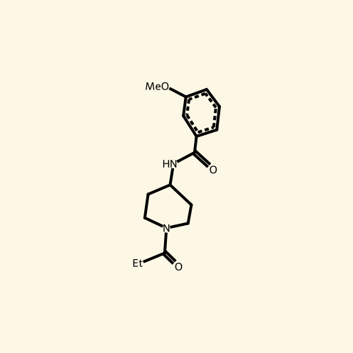 CCC(=O)N1CCC(NC(=O)c2cccc(OC)c2)CC1